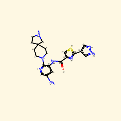 Nc1cnc(N2CCC3(CCNC3)CC2)c(NC(=O)c2csc(-c3cn[nH]c3)n2)c1